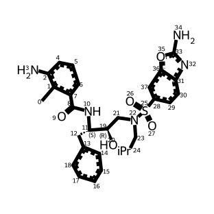 Cc1c(N)cccc1C(=O)N[C@@H](Cc1ccccc1)[C@H](O)CN(CC(C)C)S(=O)(=O)c1ccc2nc(N)oc2c1